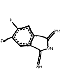 N=C1NC(=N)c2cc(F)c(F)cc21